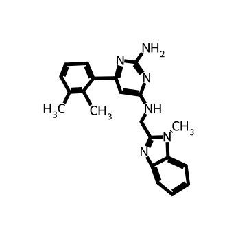 Cc1cccc(-c2cc(NCc3nc4ccccc4n3C)nc(N)n2)c1C